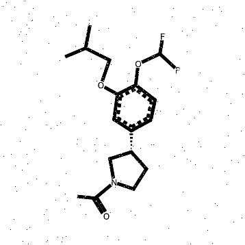 CC(=O)N1CC[C@@H](c2ccc(OC(F)F)c(OCC(C)C)c2)C1